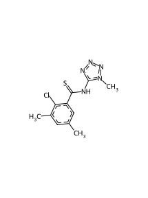 Cc1cc(C)c(Cl)c(C(=S)Nc2nnnn2C)c1